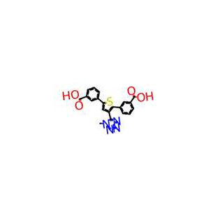 Cn1nnnc1-c1cc(-c2cccc(C(=O)O)c2)sc1-c1cccc(C(=O)O)c1